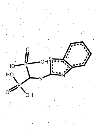 O=P(O)(O)C(Sc1nc2ccccc2s1)P(=O)(O)O